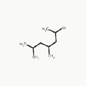 CC(=O)C(C)CC(C)CC(C)N